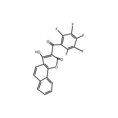 O=C(c1c(F)c(F)c(F)c(F)c1F)c1c(O)c2ccc3ccccc3c2oc1=O